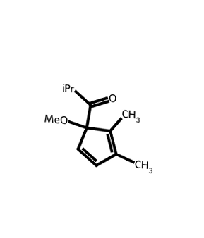 COC1(C(=O)C(C)C)C=CC(C)=C1C